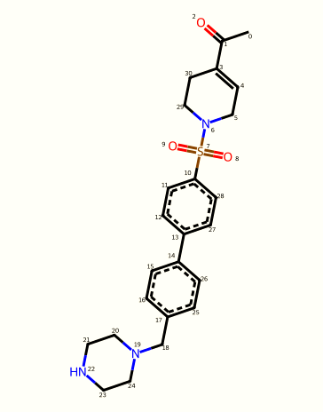 CC(=O)C1=CCN(S(=O)(=O)c2ccc(-c3ccc(CN4CCNCC4)cc3)cc2)CC1